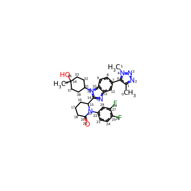 Cc1nnn(C)c1-c1ccc2c(c1)nc(C1CCCC(=O)N1c1ccc(F)c(F)c1)n2C1CCC(C)(O)CC1